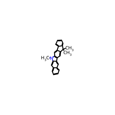 Cn1c2cc3c(cc2c2cc4ccccc4cc21)C(C)(C)c1ccccc1-3